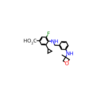 CC1(Nc2cccc(CNc3c(F)cc(C(=O)O)cc3C3CC3)c2)COC1